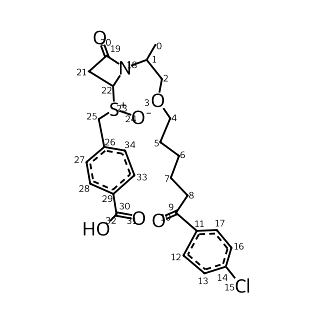 CC(COCCCCCC(=O)c1ccc(Cl)cc1)N1C(=O)CC1[S+]([O-])Cc1ccc(C(=O)O)cc1